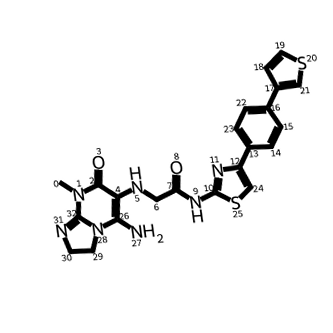 CN1C(=O)C(NCC(=O)Nc2nc(-c3ccc(-c4ccsc4)cc3)cs2)=C(N)N2CCN=C12